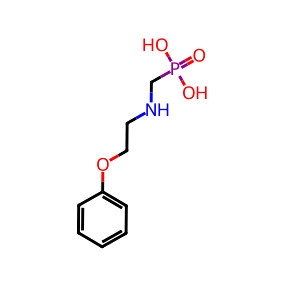 O=P(O)(O)CNCCOc1ccccc1